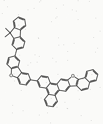 CC1(C)c2ccccc2-c2ccc(-c3ccc4oc5ccc(-c6ccc7c(c6)c6ccccc6c6cc8c(cc76)oc6c7ccccc7ccc86)cc5c4c3)cc21